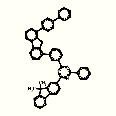 CC1(C)c2ccccc2-c2ccc(-c3nc(-c4ccccc4)nc(-c4cccc(-c5cccc6c5Cc5c(-c7ccc(-c8ccccc8)cc7)cccc5-6)c4)n3)cc21